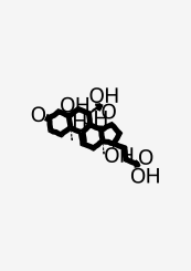 C[C@]12CC=C3[C@@H]([C@H](C(=O)O)C[C@@]4(O)CC(=O)CC[C@]34C)[C@@H]1CC[C@@]2(O)CCC(=O)O